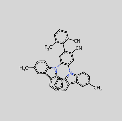 Cc1ccc2c(c1)c1ccccc1n2-c1cc(C#N)c(-c2c(C#N)cccc2C(F)(F)F)cc1-n1c2ccccc2c2cc(C)ccc21